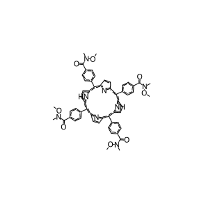 CON(C)C(=O)c1ccc(-c2c3nc(c(-c4ccc(C(=O)N(C)OC)cc4)c4ccc([nH]4)c(-c4ccc(C(=O)N(C)OC)cc4)c4nc(c(-c5ccc(C(=O)N(C)OC)cc5)c5ccc2[nH]5)C=C4)C=C3)cc1